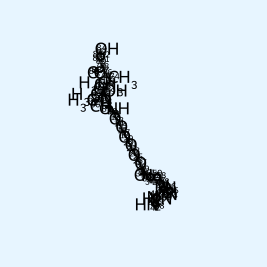 CO[C@@H](/C(=N/OCC(=O)NCCOCCOCCOCCOCCOCCOCCC(=O)N1CCc2cc(Cn3nc(-c4cnc5[nH]ccc5c4)c4c(N)ncnc43)ccc2C1)[C@H](C)CC(C)C)[C@H](O)/C(C)=C/[C@@H](C)CC[C@@H](CC[C@H]1CC[C@H](O)CC1)OC=O